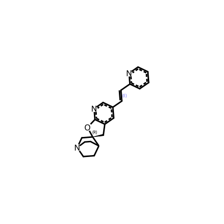 C(=C\c1ccccn1)/c1cnc2c(c1)C[C@@]1(CN3CCC1CC3)O2